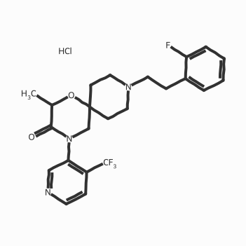 CC1OC2(CCN(CCc3ccccc3F)CC2)CN(c2cnccc2C(F)(F)F)C1=O.Cl